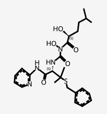 CC(C)CC[C@H](O)C(=O)N(O)C(=O)N[C@@H](C(=O)Nc1ccccn1)C(C)(C)SCc1ccccc1